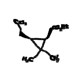 CCOC(=O)[C@@H]1[C@H](CC(Cl)(Cl)Cl)C1(C)C